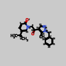 C=C(C)c1ccc(=O)n(CC(=O)c2cnn(Cc3ccccc3)c2C)c1